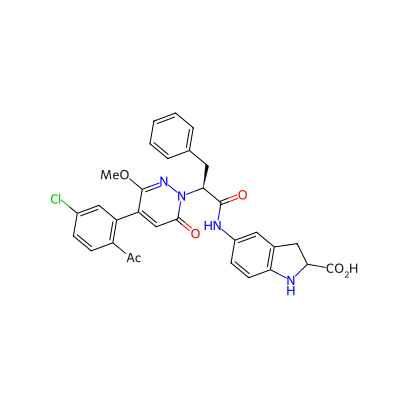 COc1nn([C@@H](Cc2ccccc2)C(=O)Nc2ccc3c(c2)CC(C(=O)O)N3)c(=O)cc1-c1cc(Cl)ccc1C(C)=O